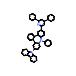 c1ccc(-c2cc(-c3ccccc3)nc(-c3ccc4c(c3)-c3ccccc3-c3cc(-n5c6ccccc6c6ccccc65)ccc3N4c3ccccc3)c2)cc1